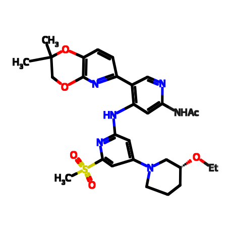 CCO[C@@H]1CCCN(c2cc(Nc3cc(NC(C)=O)ncc3-c3ccc4c(n3)OCC(C)(C)O4)nc(S(C)(=O)=O)c2)C1